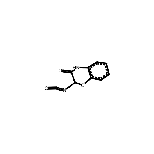 O=C=NC1Oc2cc[c]cc2NC1=O